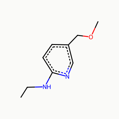 CCNc1ccc(COC)cn1